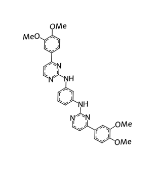 COc1ccc(-c2ccnc(Nc3cccc(Nc4nccc(-c5ccc(OC)c(OC)c5)n4)c3)n2)cc1OC